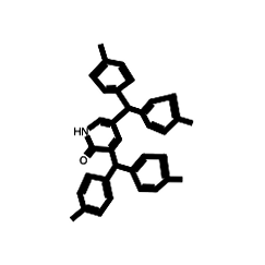 Cc1ccc(C(c2ccc(C)cc2)c2c[nH]c(=O)c(C(c3ccc(C)cc3)c3ccc(C)cc3)c2)cc1